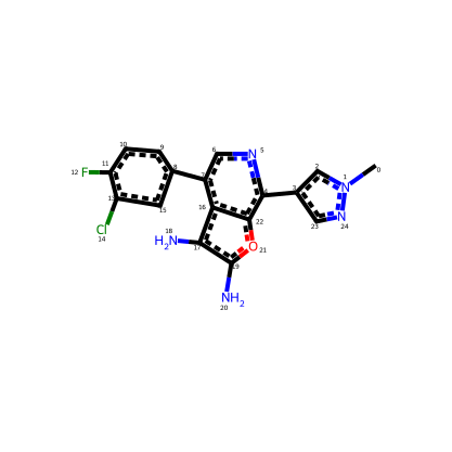 Cn1cc(-c2ncc(-c3ccc(F)c(Cl)c3)c3c(N)c(N)oc23)cn1